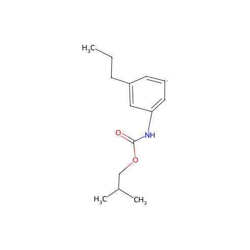 CCCc1c[c]cc(NC(=O)OCC(C)C)c1